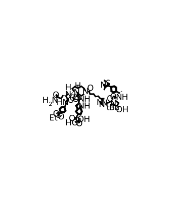 CCS(=O)(=O)c1ccc(CNC(=O)[C@H](CCC(N)=O)NC(=O)[C@@H]2CC[C@@H]3CCN(C(=O)CCCCc4cn([C@H](C(=O)N5C[C@H](O)C[C@H]5C(=O)N[C@@H](C)c5ccc(-c6scnc6C)cc5)C(C)(C)C)nn4)C[C@H](NC(=O)c4cc5cc(C(=O)P(=O)(O)O)ccc5[nH]4)C(=O)N32)cc1